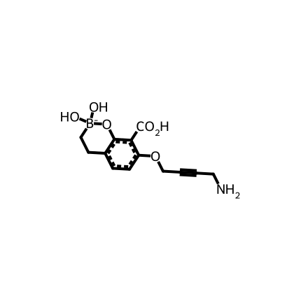 NCC#CCOc1ccc2c(c1C(=O)O)O[B-](O)(O)CC2